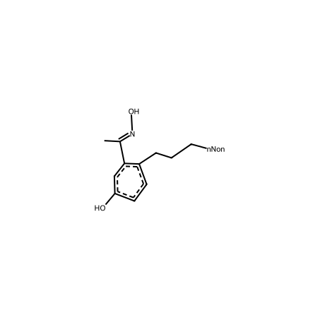 CCCCCCCCCCCCc1ccc(O)cc1C(C)=NO